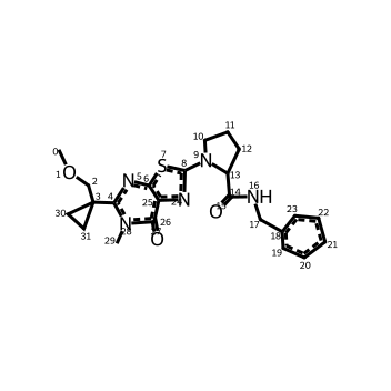 COCC1(c2nc3sc(N4CCCC4C(=O)NCc4ccccc4)nc3c(=O)n2C)CC1